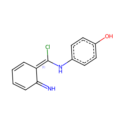 N=C1C=CC=C/C1=C(\Cl)Nc1ccc(O)cc1